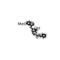 COc1ccc2nccc(CCCC3CCN(C(=O)OCc4ccccc4)CC3C(C)(C)O)c2c1